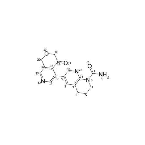 NC(=O)N1CCCc2cc(-c3cncc4c3C(=O)COC4)cnc21